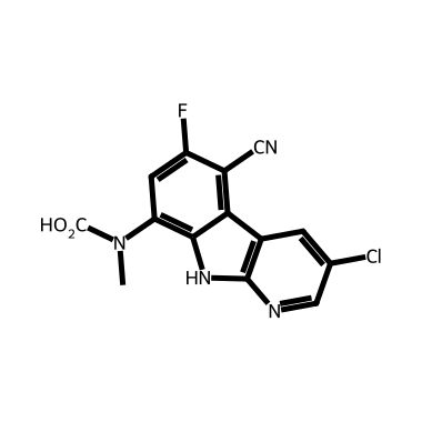 CN(C(=O)O)c1cc(F)c(C#N)c2c1[nH]c1ncc(Cl)cc12